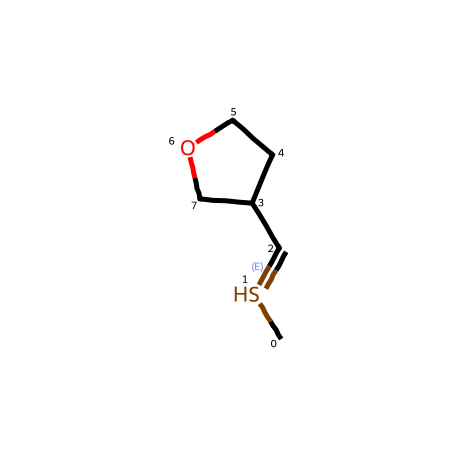 C/[SH]=C/C1CCOC1